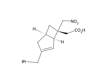 CC(C)CC1=C[C@H]2[C@@H](C1)C[C@]2(CC(=O)O)C[N+](=O)[O-]